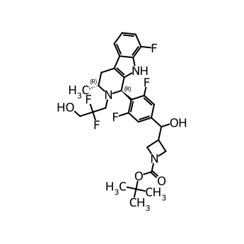 C[C@@H]1Cc2c([nH]c3c(F)cccc23)[C@@H](c2c(F)cc(C(O)C3CN(C(=O)OC(C)(C)C)C3)cc2F)N1CC(F)(F)CO